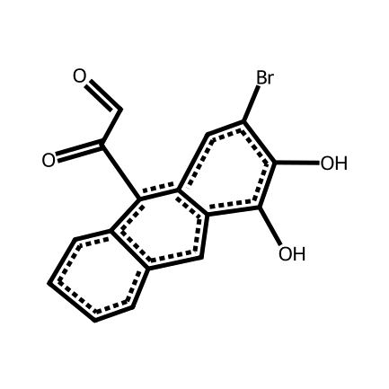 O=CC(=O)c1c2ccccc2cc2c(O)c(O)c(Br)cc12